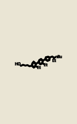 CCCCC(CC)Cc1ccc(-c2ccc(-c3ccc(CCCCCO)cc3CC)cc2CC)cc1